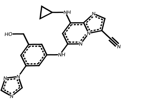 N#Cc1cnc2c(NC3CC3)cc(Nc3cc(CO)cc(-n4cncn4)c3)nn12